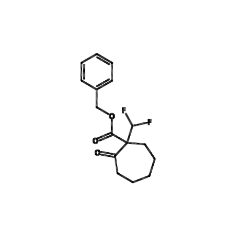 O=C1CCCCCC1(C(=O)OCc1ccccc1)C(F)F